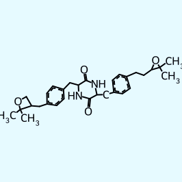 CC1(C)OCC1Cc1ccc(CC2NC(=O)C(Cc3ccc(CCC4OC4(C)C)cc3)NC2=O)cc1